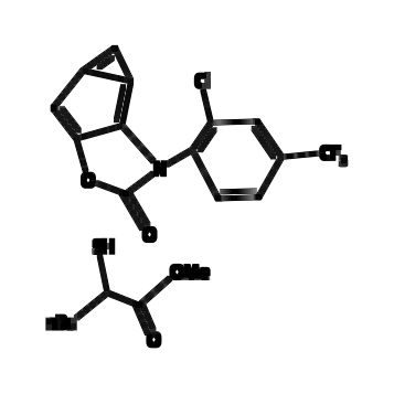 CCCCC(S)C(=O)OC.O=c1oc2cc3cc-3c2n1-c1ccc(C(F)(F)F)cc1Cl